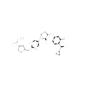 C[S+]([O-])C1CCC(Cc2ncc(N3CC[C@@H](Oc4ccc(C(=O)C5CC5)c(F)c4)C3=O)cn2)C1